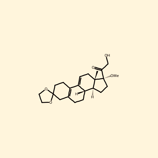 CO[C@]1(C(=O)CO)CC[C@H]2[C@@H]3CCC4=C(CCC5(C4)OCCO5)C3=CC[C@@]21C